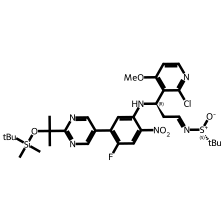 COc1ccnc(Cl)c1[C@@H](CC=N[S@+]([O-])C(C)(C)C)Nc1cc(-c2cnc(C(C)(C)O[Si](C)(C)C(C)(C)C)nc2)c(F)cc1[N+](=O)[O-]